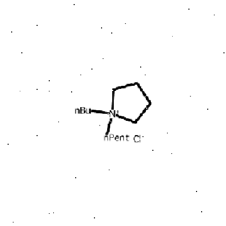 CCCCC[N+]1(CCCC)CCCC1.[Cl-]